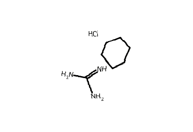 C1CCCCC1.Cl.N=C(N)N